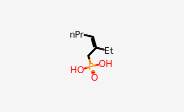 CCCC=C(CC)CP(=O)(O)O